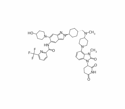 CN(C[C@H]1CC[C@H](n2cc3cc(NC(=O)c4cccc(C(F)(F)F)n4)c(N4CCC(O)CC4)cc3n2)CC1)C1CCN(c2cccc3c2n(C)c(=O)n3C2CCC(=O)NC2=O)CC1